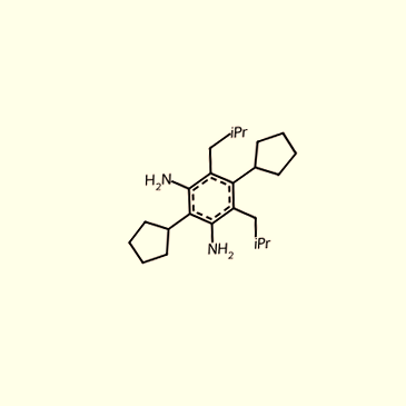 CC(C)Cc1c(N)c(C2CCCC2)c(N)c(CC(C)C)c1C1CCCC1